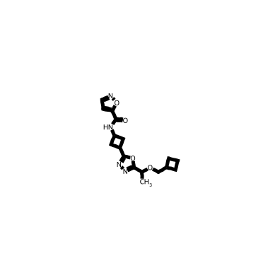 CC(OCC1CCC1)c1nnc(C2CC(NC(=O)c3ccno3)C2)o1